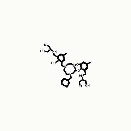 Cc1cc(CNC(CO)CO)c(O)c(CN2CCN(Cc3ccccc3)CCN(Cc3cc(C)cc(CNC(CO)CO)c3O)CC2)c1